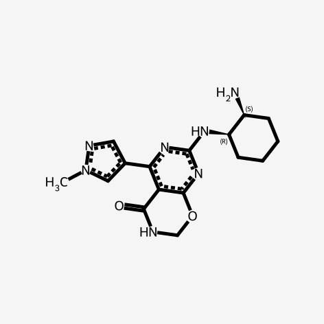 Cn1cc(-c2nc(N[C@@H]3CCCC[C@@H]3N)nc3c2C(=O)NCO3)cn1